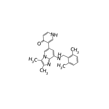 Cc1cccc(C)c1CNc1cc(-c2c[nH]ccc2=O)cn2c(C)c(C)nc12